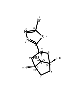 O[C@@H]1[C@@H]2CC[C@H]1CN(c1nnc(Br)s1)C2